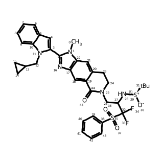 Cn1c(-c2cc3ccccc3n2CC2CC2)nc2cc3c(cc21)CCN(CC(N[S@+]([O-])C(C)(C)C)C(F)(F)S(=O)(=O)c1ccccc1)C3=O